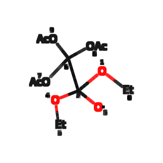 CCOC([O])(OCC)C(OC(C)=O)(OC(C)=O)OC(C)=O